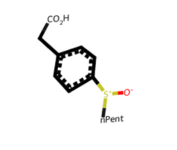 CCCCC[S+]([O-])c1ccc(CC(=O)O)cc1